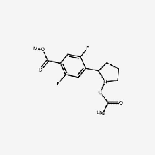 COC(=O)c1cc(F)c(C2CCCN2OC(=O)C(C)(C)C)cc1F